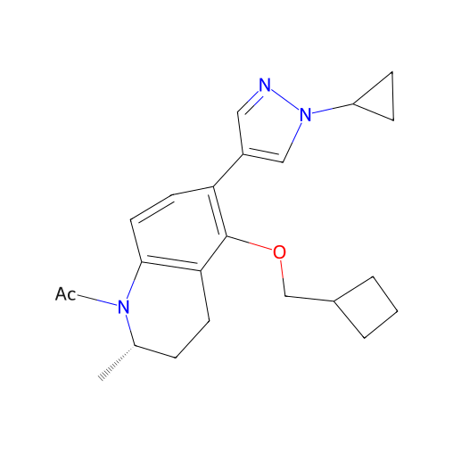 CC(=O)N1c2ccc(-c3cnn(C4CC4)c3)c(OCC3CCC3)c2CC[C@@H]1C